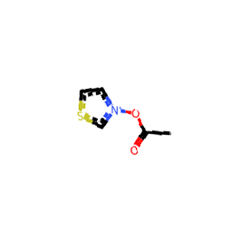 CC(=O)O[n+]1ccsc1